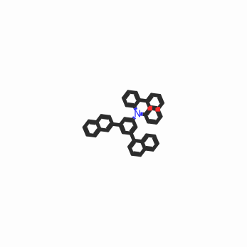 c1ccc(-c2ccccc2N(c2ccccc2)c2cc(-c3ccc4ccccc4c3)cc(-c3cccc4ccccc34)c2)cc1